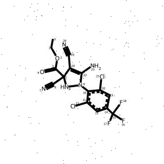 CCOC(=O)C1(C#N)NN(c2c(Cl)cc(C(F)(F)F)cc2Cl)C(N)=C1C#N